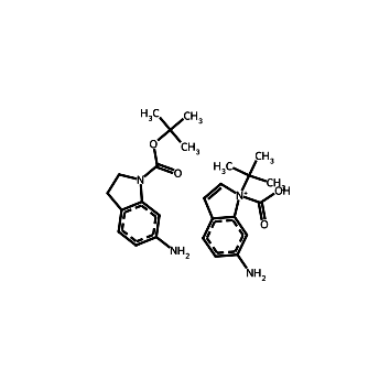 CC(C)(C)OC(=O)N1CCc2ccc(N)cc21.CC(C)(C)[N+]1(C(=O)O)C=Cc2ccc(N)cc21